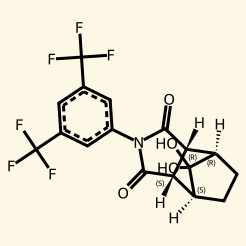 O=C1[C@@H]2[C@H](C(=O)N1c1cc(C(F)(F)F)cc(C(F)(F)F)c1)[C@H]1CC[C@@H]2C1(O)O